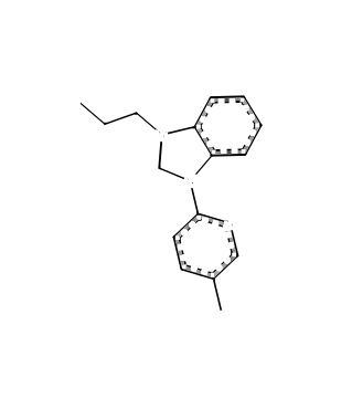 CCCN1CN(c2ccc(C)cn2)c2ccccc21